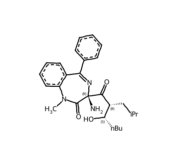 CCCC[C@H](O)[C@@H](CC(C)C)C(=O)[C@@]1(N)N=C(c2ccccc2)c2ccccc2N(C)C1=O